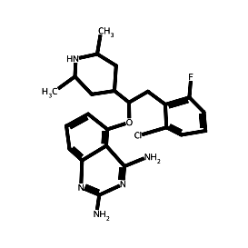 CC1CC(C(Cc2c(F)cccc2Cl)Oc2cccc3nc(N)nc(N)c23)CC(C)N1